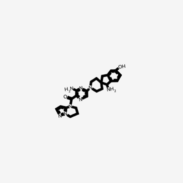 Nc1nc(N2CCC3(CC2)Cc2cc(O)ccc2C3N)cnc1C(=O)N1CCCn2nccc21